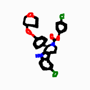 O=C(Oc1ccc(Cl)cc1)N1CCc2c([nH]c3ccc(Cl)cc23)[C@@H]1c1ccc(OC2CCOCC2)cc1